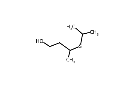 CC(C)SC(C)CCO